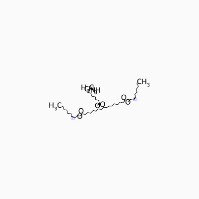 CCCCCC/C=C\COC(=O)CCCCCCCC(CCCCCCCC(=O)OC/C=C\CCCCCC)OC(=O)CCCCC(CC)NC